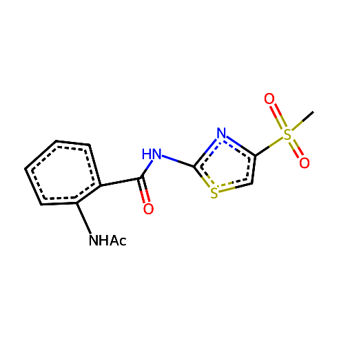 CC(=O)Nc1ccccc1C(=O)Nc1nc(S(C)(=O)=O)cs1